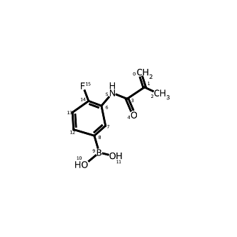 C=C(C)C(=O)Nc1cc(B(O)O)ccc1F